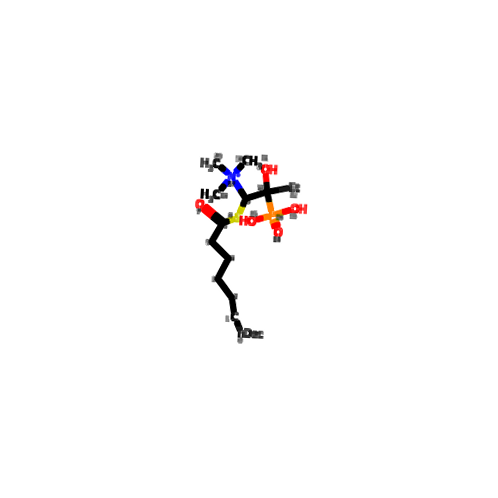 CCCCCCCCCCCCCCCC(=O)SC(C(O)(CC)P(=O)(O)O)[N+](C)(C)C